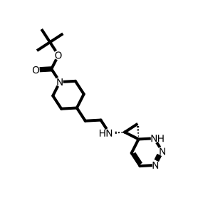 CC(C)(C)OC(=O)N1CCC(CCN[C@@H]2C[C@]23C=CN=NN3)CC1